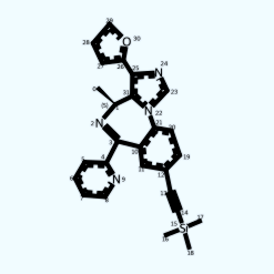 C[C@@H]1N=C(c2ccccn2)c2cc(C#C[Si](C)(C)C)ccc2-n2cnc(-c3ccco3)c21